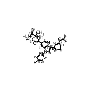 CC(C)(NC(=O)c1cnc2c(-c3cccc(OC(F)F)c3)cn(-c3ncc(F)cn3)c2c1)C(N)=O